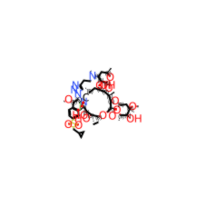 CC[C@H]1OC(=O)[C@H](C)[C@@H](O[C@H]2C[C@@](C)(OC)[C@@H](O)[C@H](C)O2)[C@H](C)[C@@H](O[C@@H]2O[C@H](C)C[C@H](N(C)CCc3cn([C@H](CF)[C@H](OC)c4ccc(S(=O)(=O)CC5CC5)cc4)nn3)[C@H]2O)[C@](C)(O)C[C@@H](C)CN(C)[C@H](C)[C@@H](O)[C@]1(C)O